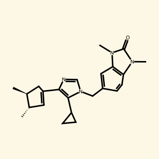 C[C@H]1C=C(c2ncn(Cc3ccc4c(c3)n(C)c(=O)n4C)c2C2CC2)C[C@@H]1C